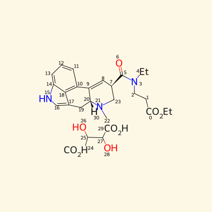 CCOC(=O)CCN(CC)C(=O)[C@@H]1C=C2c3cccc4[nH]cc(c34)C[C@H]2N(C)C1.O=C(O)C(O)C(O)C(=O)O